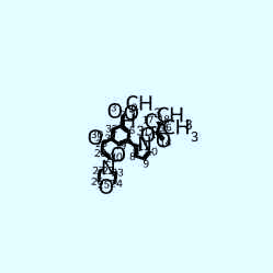 COC(=O)c1cc(-c2cccn2OC(=O)C(C)(C)C)c2oc(N3CCOCC3)cc(=O)c2c1